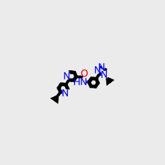 O=C(Nc1cccc(-c2nncn2C2CC2)c1)c1ccnc(-c2ccc(C3CC3)nc2)c1